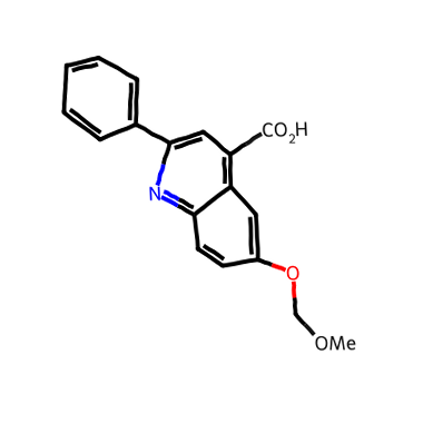 COCOc1ccc2nc(-c3ccccc3)cc(C(=O)O)c2c1